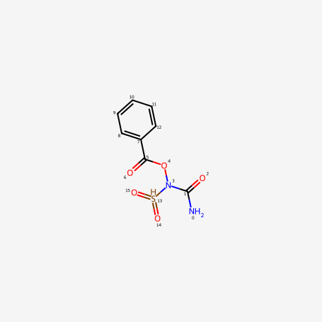 NC(=O)N(OC(=O)c1ccccc1)[SH](=O)=O